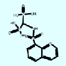 O=P(O)(O)C(NS(=O)(=O)c1cccc2cccnc12)P(=O)(O)O